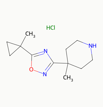 CC1(c2noc(C3(C)CC3)n2)CCNCC1.Cl